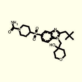 CC(C)(C)Cc1nc2cc(S(=O)(=O)C3CCN(C(N)=O)CC3)ccc2n1CC1(O)CCOCC1